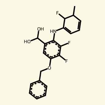 CC1C=CC=C(Nc2c(C(O)O)cc(OCc3ccccc3)c(F)c2F)C1F